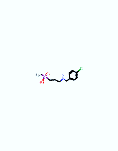 CP(=O)(O)CCCNCc1ccc(Cl)cc1